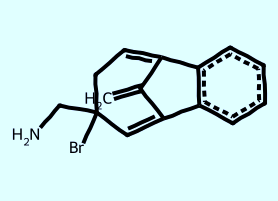 C=C1C2=CCC(Br)(CN)C=C1c1ccccc12